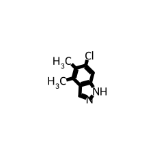 Cc1c(Cl)cc2[nH]ncc2c1C